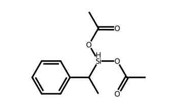 CC(=O)O[SiH](OC(C)=O)C(C)c1ccccc1